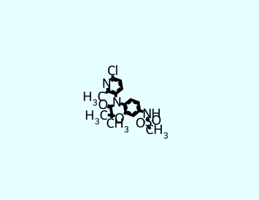 Cc1nc(Cl)ccc1N1C(=O)C(C)(C)Oc2cc(NS(C)(=O)=O)ccc21